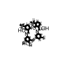 C[Si](C)(C)c1cccc(C=Nc2cc(F)cc(F)c2)c1O.C[Si](C)(C)c1cccc(C=Nc2cc(F)cc(F)c2)c1O.Cl.Cl.[Ti]